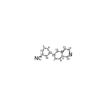 N#Cc1cccc(-c2ccc3cnccc3c2)c1